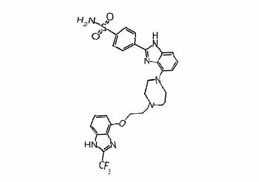 NS(=O)(=O)c1ccc(-c2nc3c(N4CCN(CCOc5cccc6[nH]c(C(F)(F)F)nc56)CC4)cccc3[nH]2)cc1